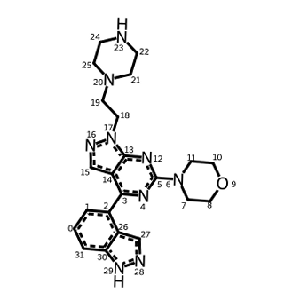 c1cc(-c2nc(N3CCOCC3)nc3c2cnn3CCN2CCNCC2)c2cn[nH]c2c1